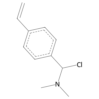 C=Cc1ccc(C(Cl)N(C)C)cc1